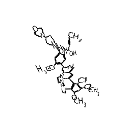 CC#CC(O)Nc1cc(-c2cc3c(cn2)cc(-c2c(Cl)c(OC)cc(OC)c2Cl)c2nccn23)c(OC)cc1N1CCC(N2CCOCC2)CC1